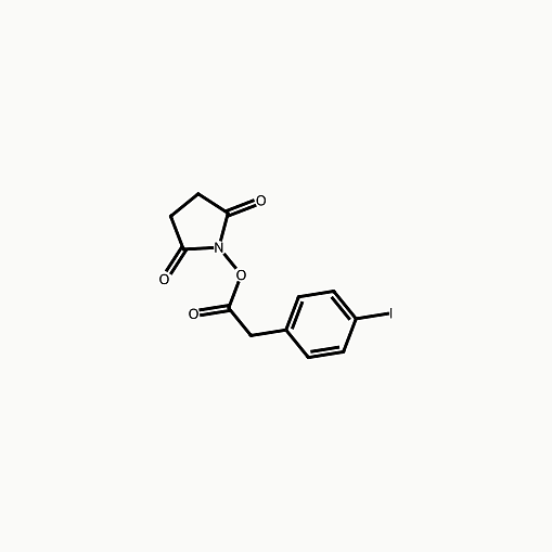 O=C(Cc1ccc(I)cc1)ON1C(=O)CCC1=O